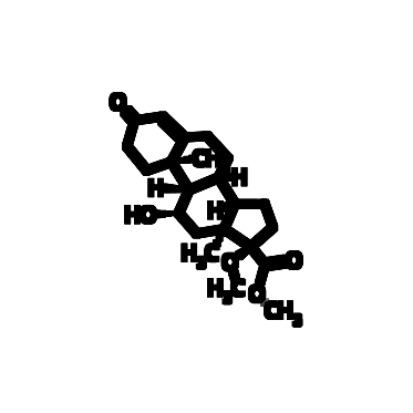 COC(=O)[C@@]1(OC)CC[C@H]2[C@@H]3CCC4=CC(=O)CC[C@]4(C)[C@H]3[C@@H](O)C[C@@]21C